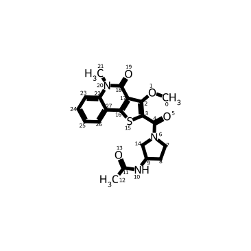 COc1c(C(=O)N2CCC(NC(C)=O)C2)sc2c1c(=O)n(C)c1ccccc21